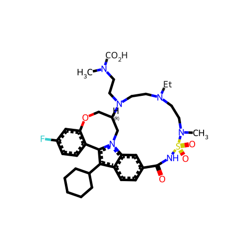 CCN1CCN(CCN(C)C(=O)O)[C@H]2COc3cc(F)ccc3-c3c(C4CCCCC4)c4ccc(cc4n3C2)C(=O)NS(=O)(=O)N(C)CC1